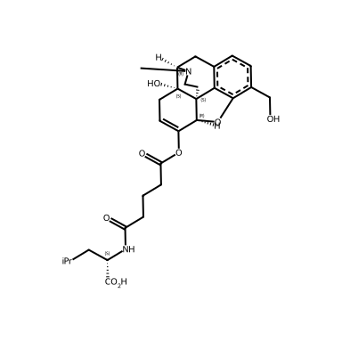 CC(C)C[C@H](NC(=O)CCCC(=O)OC1=CC[C@@]2(O)[C@H]3Cc4ccc(CO)c5c4[C@@]2(CCN3C)[C@H]1O5)C(=O)O